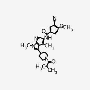 COc1ccc(C(=O)Nc2cnc3c(c(C4CCN(C(=O)C(C)C)CC4)cn3C)c2C)cc1C#N